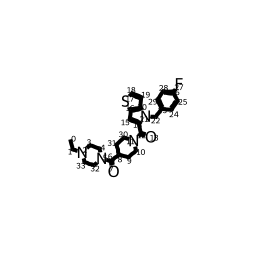 CCN1CCN(C(=O)C2CCN(C(=O)c3cc4sccc4n3Cc3ccc(F)cc3)CC2)CC1